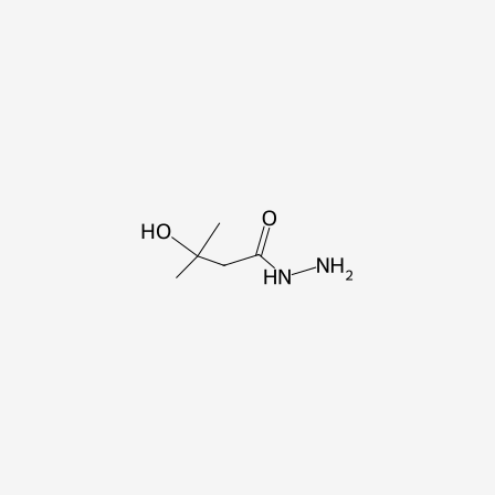 CC(C)(O)CC(=O)NN